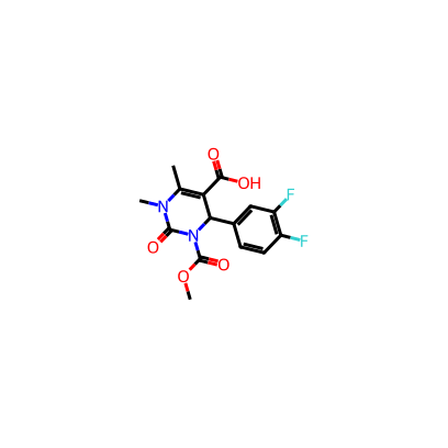 COC(=O)N1C(=O)N(C)C(C)=C(C(=O)O)C1c1ccc(F)c(F)c1